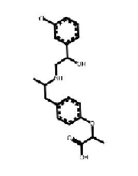 CC(Cc1ccc(OC(C)C(=O)O)cc1)NCC(O)c1cccc(Cl)c1